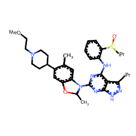 COCCN1CCC(c2cc3c(cc2C)N(c2nc(Nc4ccccc4[S+]([O-])C(C)C)c4c(C(C)C)n[nH]c4n2)C(C)O3)CC1